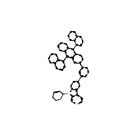 C1=CC(n2c3ccc(-c4cccc(-c5ccc6c(-c7cccc8ccccc78)c7ccccc7c(-c7cccc8ccccc78)c6c5)c4)cc3c3ccncc32)CCC1